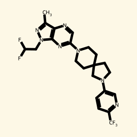 Cc1nn(CC(F)F)c2nc(N3CCC4(CCN(c5ccc(C(F)(F)F)nc5)C4)CC3)cnc12